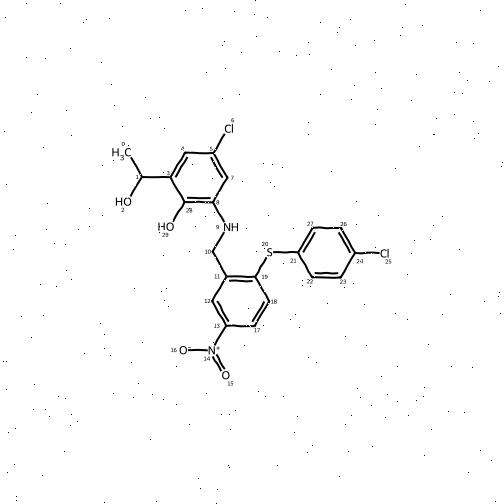 CC(O)c1cc(Cl)cc(NCc2cc([N+](=O)[O-])ccc2Sc2ccc(Cl)cc2)c1O